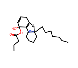 CCCCCCCC1NCCC23CCCCC12CCC1=C3C(O)(OC(=O)CCC)C=CC1